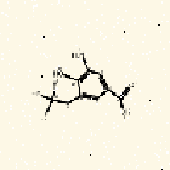 Nc1cc(C(=O)O)cc(CC(F)(F)F)c1O